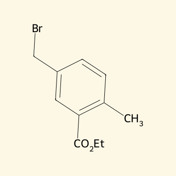 CCOC(=O)c1cc(CBr)ccc1C